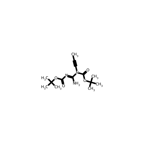 CC#CN(C(=O)OC(C)(C)C)C(N)=NC(=O)OC(C)(C)C